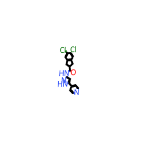 O=C(Nc1cc(-c2ccncc2)[nH]n1)C1Cc2cc(Cl)c(Cl)cc2C1